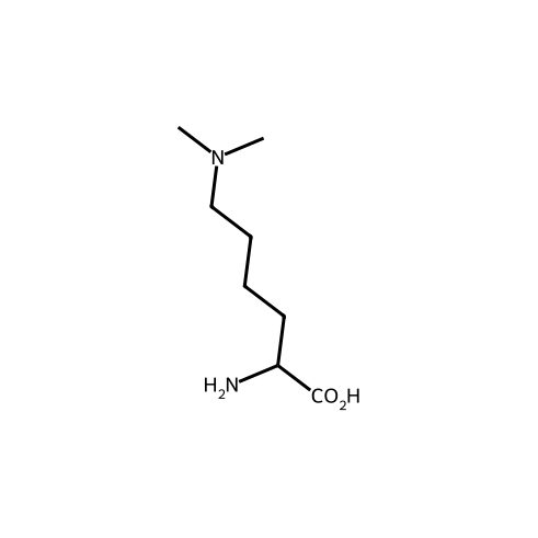 CN(C)CCCCC(N)C(=O)O